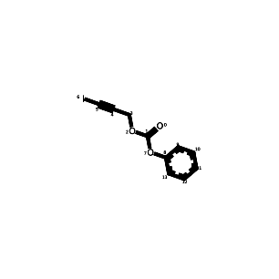 O=C(OCC#CI)Oc1ccccc1